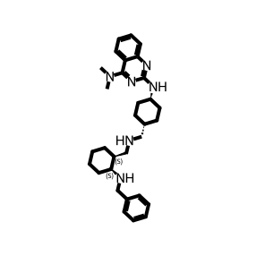 CN(C)c1nc(N[C@H]2CC[C@@H](CNC[C@@H]3CCCC[C@@H]3NCc3ccccc3)CC2)nc2ccccc12